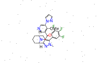 COc1c(C(=O)CN2[C@H]3CCC[C@@H]2c2nn(C)c(-c4cc(F)c(F)c(F)c4)c2C3)cncc1-n1cccn1